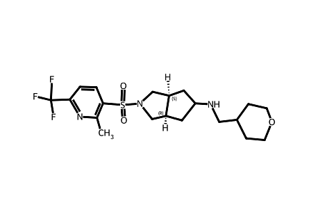 Cc1nc(C(F)(F)F)ccc1S(=O)(=O)N1C[C@H]2CC(NCC3CCOCC3)C[C@H]2C1